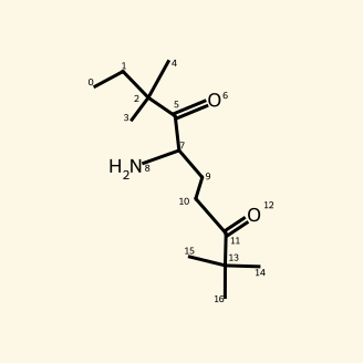 CCC(C)(C)C(=O)C(N)CCC(=O)C(C)(C)C